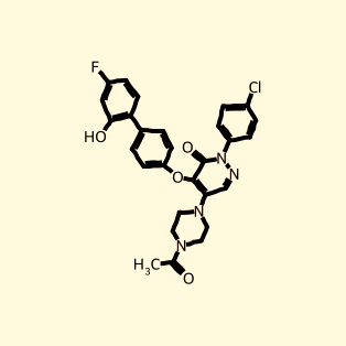 CC(=O)N1CCN(c2cnn(-c3ccc(Cl)cc3)c(=O)c2Oc2ccc(-c3ccc(F)cc3O)cc2)CC1